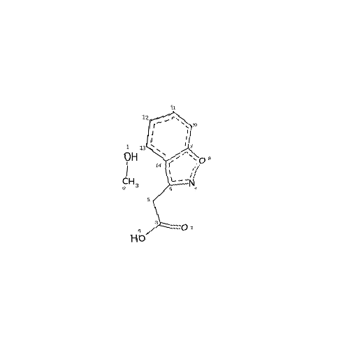 CO.O=C(O)Cc1noc2ccccc12